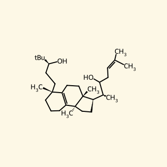 CC(C)=CCC(O)[C@@H](C)[C@H]1CC[C@@]2(C)C3=C(CC[C@]12C)[C@@](C)(CC[C@H](O)C(C)(C)C)CCC3